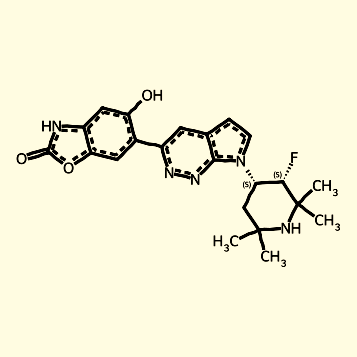 CC1(C)C[C@H](n2ccc3cc(-c4cc5oc(=O)[nH]c5cc4O)nnc32)[C@H](F)C(C)(C)N1